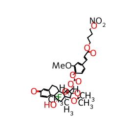 COc1cc(/C=C/C(=O)OCCCCO[N+](=O)[O-])ccc1OC(=O)OCC(=O)[C@@]12OC(C)(C)O[C@@H]1C[C@H]1C3CCC4=CC(=O)C=C[C@]4(C)[C@@]3(F)[C@@H](O)C[C@@]12C